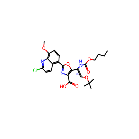 CCCCOC(=O)N/C(=C\OC(C)(C)C)c1oc(-c2ccc(OC)c3nc(Cl)ccc23)nc1C(=O)O